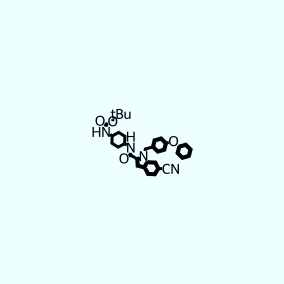 CC(C)(C)OC(=O)NC1CCC(NC(=O)c2cc3ccc(C#N)cc3n2Cc2ccc(Oc3ccccc3)cc2)CC1